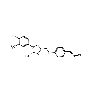 N#Cc1ccc(N2C[C@@H](COc3ccc(C=NO)cc3)O[C@@H]2C(F)(F)F)cc1C(F)(F)F